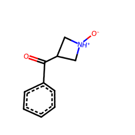 O=C(c1ccccc1)C1C[NH+]([O-])C1